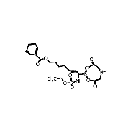 CN1CC(=O)OB(C(/C=C/CCCCOC(=O)c2ccccc2)NS(=O)(=O)OCC(Cl)(Cl)Cl)OC(=O)C1